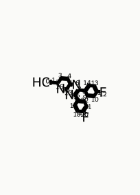 C#Cc1ccc2nc(-c3ccc(F)cc3)c(-c3ccc(F)cc3)nc2n1